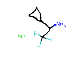 Cl.NC(C1CC1)C(F)(F)F